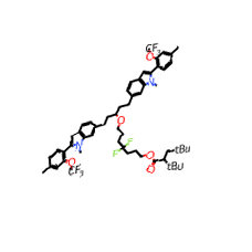 Cc1ccc(-c2cc3ccc(CCC(CCc4ccc5cc(-c6ccc(C)cc6OC(F)(F)F)n(C)c5c4)OCCCC(F)(F)CCCOC(=O)C(CC(C)(C)C)C(C)(C)C)cc3n2C)c(OC(F)(F)F)c1